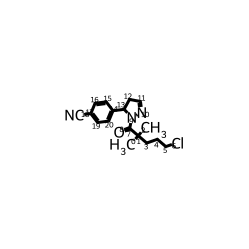 CC(C)(CCCCl)C(=O)N1N=CCC1c1ccc(C#N)cc1